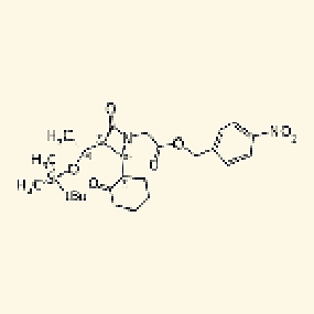 C[C@@H](O[Si](C)(C)C(C)(C)C)[C@H]1C(=O)N(CC(=O)OCc2ccc([N+](=O)[O-])cc2)[C@H]1[C@H]1CCCCC1=O